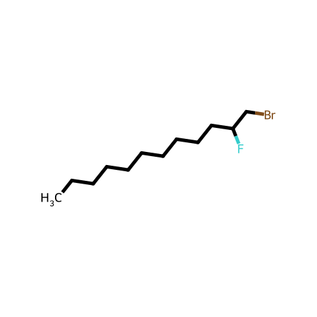 CCCCCCCCCCC(F)CBr